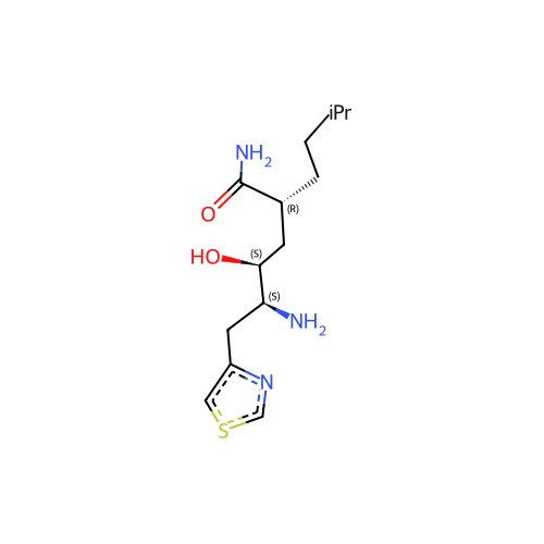 CC(C)CC[C@H](C[C@H](O)[C@@H](N)Cc1cscn1)C(N)=O